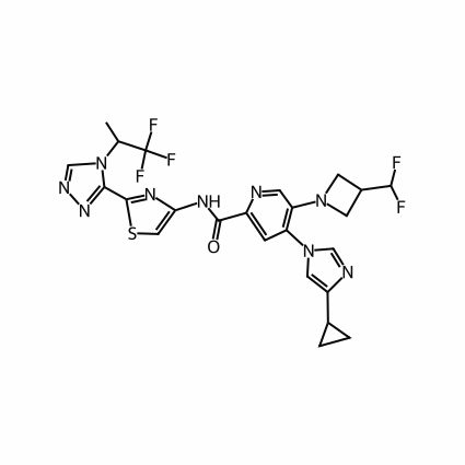 CC(n1cnnc1-c1nc(NC(=O)c2cc(-n3cnc(C4CC4)c3)c(N3CC(C(F)F)C3)cn2)cs1)C(F)(F)F